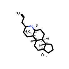 C=CCC1CC[C@@]2(C)[C@H](CC[C@H]3[C@@H]4CCC[C@@]4(C)CC[C@@H]32)N1